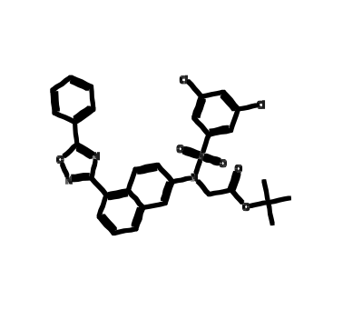 CC(C)(C)OC(=O)CN(c1ccc2c(-c3noc(-c4ccccc4)n3)cccc2c1)S(=O)(=O)c1cc(Cl)cc(Cl)c1